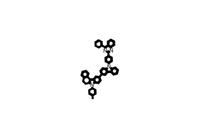 CC1=CCC(n2c3c(c4cc(-c5ccc6c(c5)c5ccccc5n6-c5ccc(-c6nc(C7=CC=CCC7)c7ccccc7n6)cc5)ccc42)-c2ccccc2CC3)C=C1